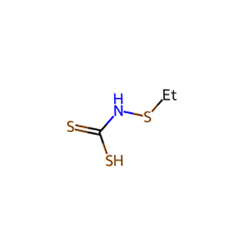 CCSNC(=S)S